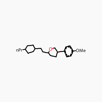 CCCC1CCC(CCC2CCC(c3ccc(OC)cc3)CO2)CC1